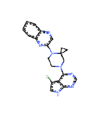 Clc1c[nH]c2ncnc(N3CCN(c4cnc5ccccc5n4)C4(CC4)C3)c12